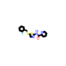 O=C(Nc1ncc(SCc2ccccc2F)s1)c1ccccn1